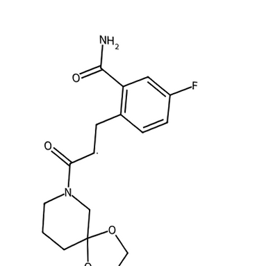 NC(=O)c1cc(F)ccc1C[CH]C(=O)N1CCCC2(C1)OCCO2